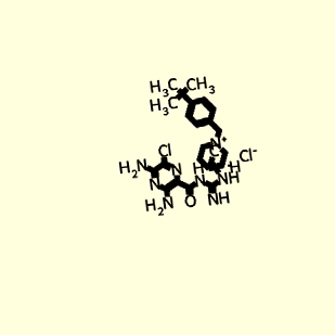 CC(C)(C)c1ccc(C[N+]23CCC(CC2)[C@H](NC(=N)NC(=O)c2nc(Cl)c(N)nc2N)C3)cc1.[Cl-]